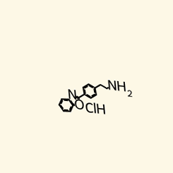 Cl.NCCc1ccc(-c2nc3ccccc3o2)cc1